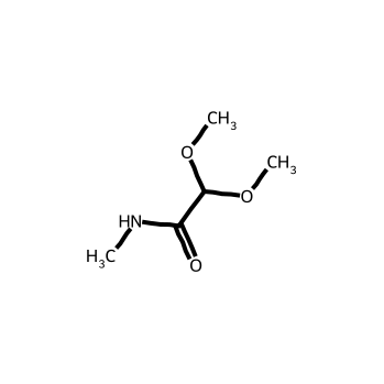 CNC(=O)C(OC)OC